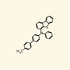 Cc1ccc(-c2ccc(N(c3ccccc3)c3cccc4c3sc3ccccc34)cc2)cc1